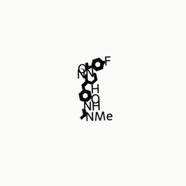 CN/C(C)=C\Nc1ccc(/C=C2\CCCN3C2=NOC3(C)c2ccc(F)cc2)cc1O